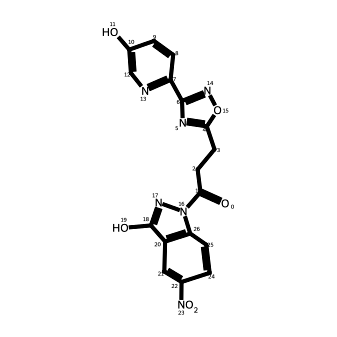 O=C(CCc1nc(-c2ccc(O)cn2)no1)n1nc(O)c2cc([N+](=O)[O-])ccc21